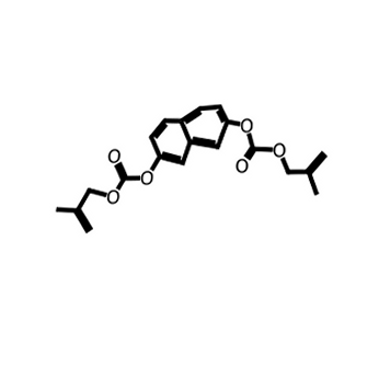 C=C(C)COC(=O)Oc1ccc2ccc(OC(=O)OCC(=C)C)cc2c1